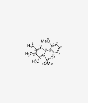 COC(=O)C1=C(C)N(C)C(C)=CC1c1ccccc1OC